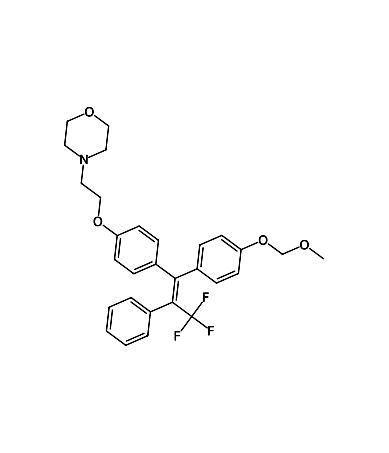 COCOc1ccc(C(=C(c2ccccc2)C(F)(F)F)c2ccc(OCCN3CCOCC3)cc2)cc1